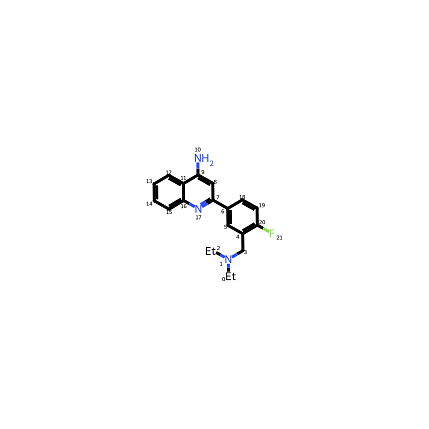 CCN(CC)Cc1cc(-c2cc(N)c3ccccc3n2)ccc1F